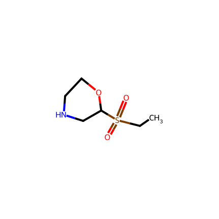 CCS(=O)(=O)C1CNCCO1